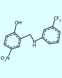 O=[N+]([O-])c1ccc(O)c(CNc2cccc(C(F)(F)F)c2)c1